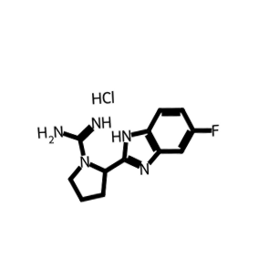 Cl.N=C(N)N1CCCC1c1nc2cc(F)ccc2[nH]1